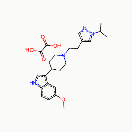 COc1ccc2[nH]cc(C3CCN(CCc4cnn(C(C)C)c4)CC3)c2c1.O=C(O)C(=O)O